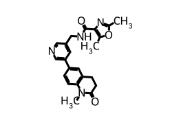 Cc1nc(C(=O)NCc2cncc(-c3ccc4c(c3)CCC(=O)N4C)c2)c(C)o1